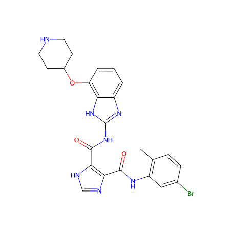 Cc1ccc(Br)cc1NC(=O)c1nc[nH]c1C(=O)Nc1nc2cccc(OC3CCNCC3)c2[nH]1